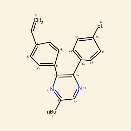 C=Cc1ccc(-c2nc(CCCC)cnc2-c2ccc(CC)cc2)cc1